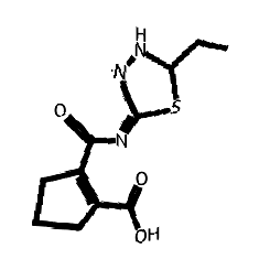 CCC1N[N]C(=NC(=O)C2=C(C(=O)O)CCC2)S1